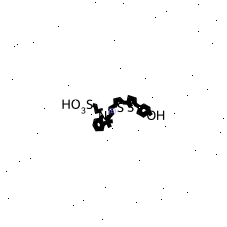 CC1(C)C(/C=C/c2ccc(-c3ccc(-c4ccc(O)cc4)s3)s2)=[N+](CCCS(=O)(=O)O)c2ccccc21